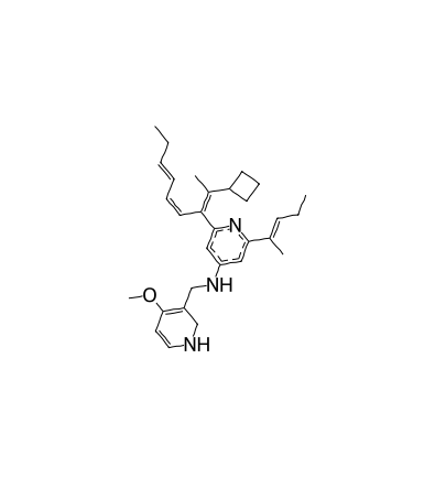 CCC=C(C)c1cc(NCC2=C(OC)C=CNC2)cc(C(/C=C\C=C\CC)=C(/C)C2CCC2)n1